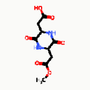 COC(=O)CC1NC(=O)C(CC(=O)O)NC1=O